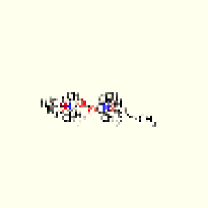 CCCCCCCCON1C(C)(C)CC(OCCOC2CC(C)(C)N(OCC)C(C)(C(C)C)C2)CC1(C)C(C)C